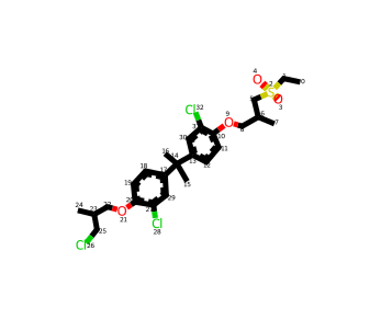 CCS(=O)(=O)CC(C)COc1ccc(C(C)(C)c2ccc(OCC(C)CCl)c(Cl)c2)cc1Cl